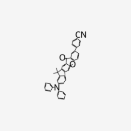 CC1(C)c2cc(N(c3ccccc3)c3ccccc3)ccc2-c2cc3oc4ccc(-c5ccc(C#N)cc5)cc4c(=O)c3cc21